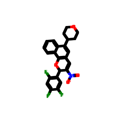 O=[N+]([O-])C1=Cc2cc(C3CCOCC3)c3ccccc3c2OC1c1cc(F)c(F)cc1F